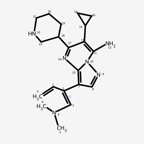 C=C/C(=C\N(C)C)c1cnn2c(N)c(C3CC3)c(C3CCCNC3)nc12